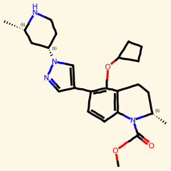 COC(=O)N1c2ccc(-c3cnn([C@H]4CCN[C@@H](C)C4)c3)c(OC3CCC3)c2CC[C@@H]1C